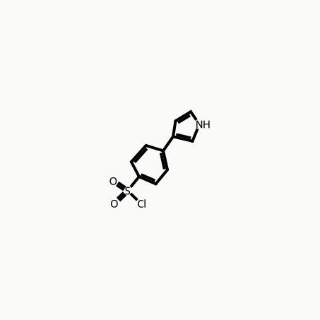 O=S(=O)(Cl)c1ccc(-c2cc[nH]c2)cc1